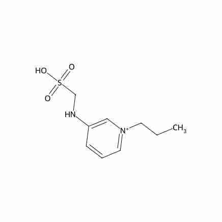 CCC[n+]1cccc(NCS(=O)(=O)O)c1